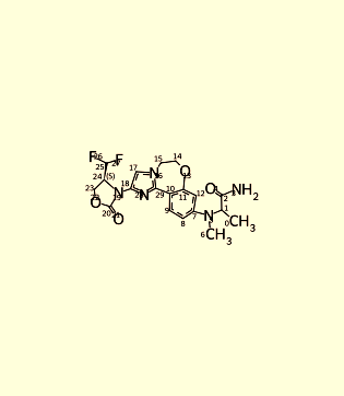 CC(C(N)=O)N(C)c1ccc2c(c1)OCCn1cc(N3C(=O)OC[C@H]3C(F)F)nc1-2